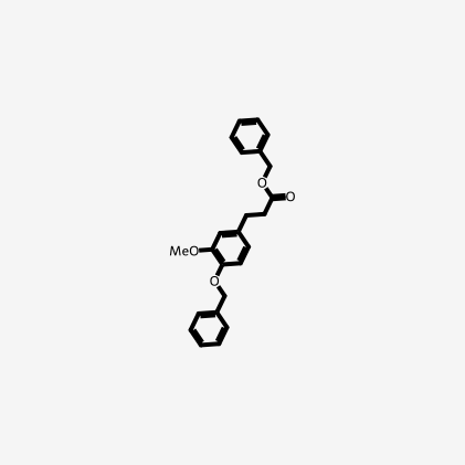 COc1cc(CCC(=O)OCc2ccccc2)ccc1OCc1ccccc1